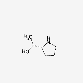 CC(O)[C@H]1CCCN1